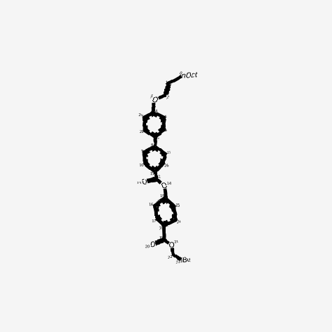 CCCCCCCCC=COc1ccc(-c2ccc(C(=O)Oc3ccc(C(=O)OCC(C)CC)cc3)cc2)cc1